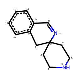 C1=NC2(CCNCC2)Cc2ccccc21